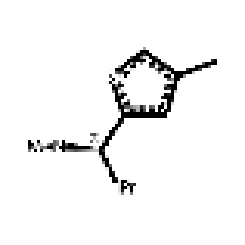 CN[C@@H](c1cc(C)cs1)C(C)C